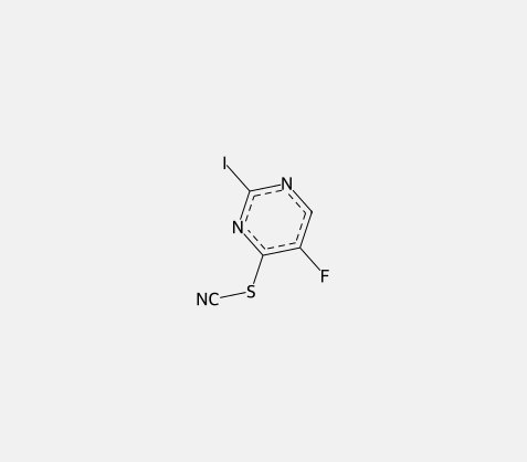 N#CSc1nc(I)ncc1F